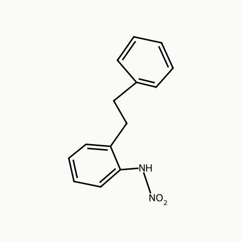 O=[N+]([O-])Nc1ccccc1CCc1ccccc1